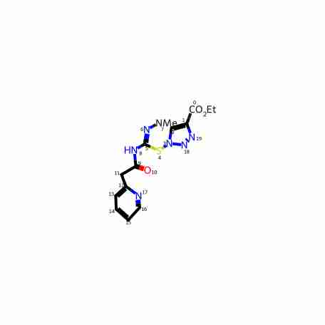 CCOC(=O)c1cn(S/C(=N\NC)NC(=O)Cc2ccccn2)nn1